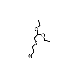 CCOC(CSCC[N])OCC